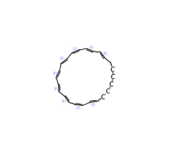 [C]1=C/C=C\C=C\C=C\C=C\C=C\C=C/C=C/C=C/CCCCCC/1